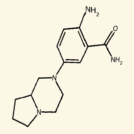 NC(=O)c1cc(N2CCN3CCCC3C2)ccc1N